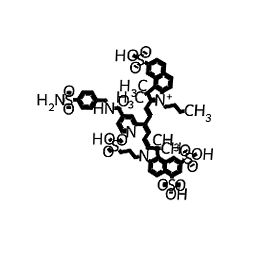 CCCC[N+]1=C(/C=C/C(=C/C=C2/N(CCCS(=O)(=O)O)c3ccc4c(S(=O)(=O)O)cc(S(=O)(=O)O)cc4c3C2(C)C)c2cc(C(=O)NCc3ccc(S(N)(=O)=O)cc3)ccn2)C(C)(C)c2c1ccc1ccc(S(=O)(=O)O)cc21